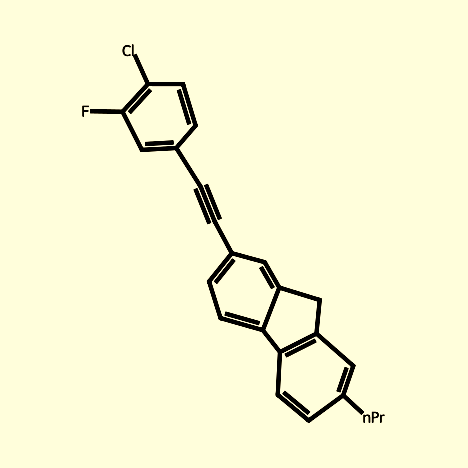 CCCc1ccc2c(c1)Cc1cc(C#Cc3ccc(Cl)c(F)c3)ccc1-2